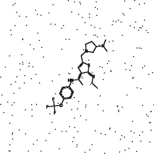 CC/N=C1/SC(CN2CCC(N(C)C)C2)=C/C1=C(/C)Nc1ccc(OC(F)(F)F)cc1